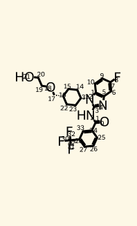 O=C(Nc1nc2cc(F)ccc2n1[C@H]1CC[C@@H](COCCO)CC1)c1cccc(C(F)(F)F)c1